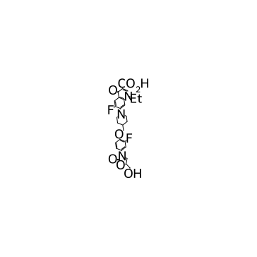 CCn1cc(C(=O)O)c(=O)c2cc(F)c(N3CCC(COc4ccc(N5CC(CO)OC5=O)cc4F)CC3)cc21